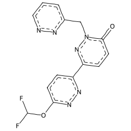 O=c1ccc(-c2ccc(OC(F)F)nn2)nn1Cc1cccnn1